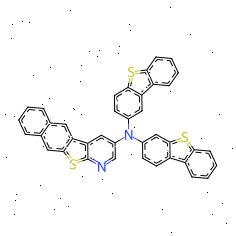 c1ccc2cc3c(cc2c1)sc1ncc(N(c2ccc4c(c2)sc2ccccc24)c2ccc4sc5ccccc5c4c2)cc13